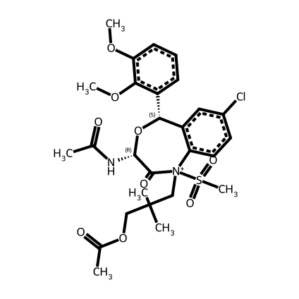 COc1cccc([C@H]2O[C@@H](NC(C)=O)C(=O)[N+](CC(C)(C)COC(C)=O)(S(C)(=O)=O)c3ccc(Cl)cc32)c1OC